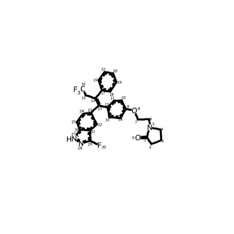 O=C1CCCN1CCOc1ccc(/C(=C(/CC(F)(F)F)c2ccccc2)c2ccc3[nH]nc(F)c3c2)cc1